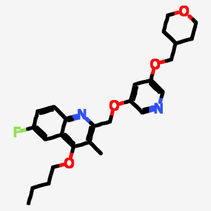 CCCCOc1c(C)c(COc2cncc(OCC3CCOCC3)c2)nc2ccc(F)cc12